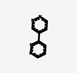 c1cnnc(-c2ccnnc2)c1